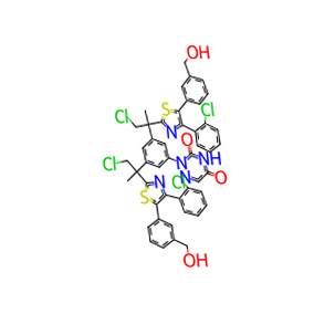 CC(CCl)(c1cc(-n2ncc(=O)[nH]c2=O)cc(C(C)(CCl)c2nc(-c3ccccc3Cl)c(-c3cccc(CO)c3)s2)c1)c1nc(-c2ccccc2Cl)c(-c2cccc(CO)c2)s1